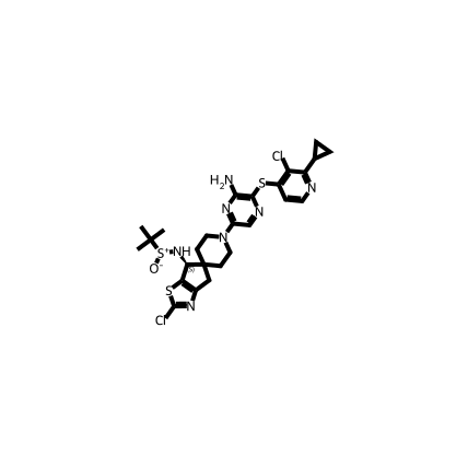 CC(C)(C)[S+]([O-])N[C@@H]1c2sc(Cl)nc2CC12CCN(c1cnc(Sc3ccnc(C4CC4)c3Cl)c(N)n1)CC2